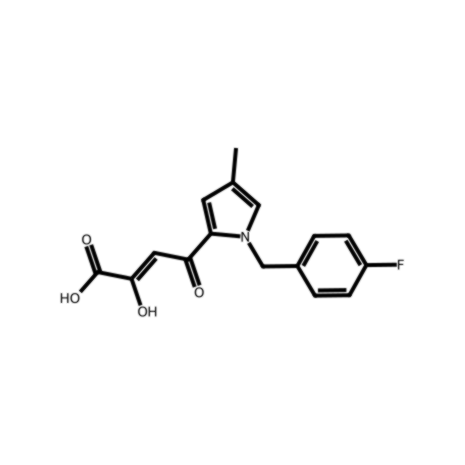 Cc1cc(C(=O)/C=C(\O)C(=O)O)n(Cc2ccc(F)cc2)c1